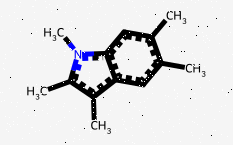 Cc1cc2c(C)c(C)n(C)c2cc1C